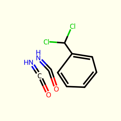 ClC(Cl)c1ccccc1.N=C=O.N=C=O